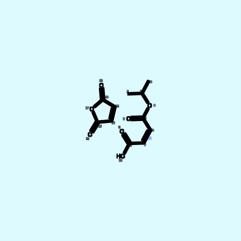 CC(C)OC(=O)/C=C\C(=O)O.O=C1C=CC(=O)O1